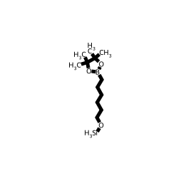 CC1(C)OB(CCCCCCO[SiH3])OC1(C)C